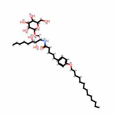 CCCCCCCCCCCCCCOc1ccc(CCCCC(=O)N[C@@H](COC2OC(CO)C(O)C(O)C2O)[C@H](O)[C@H](O)CCCCC)cc1